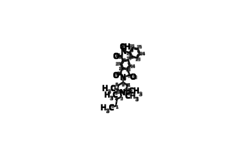 CCCCN1C(C)(C)CC(N2C(=O)c3ccc(C(=O)N(C)c4ccccc4)cc3C2=O)CC1(C)C